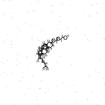 COCCOCO[C@H]1CC[C@@]2(C)C(=CC[C@H]3[C@@H]4CC[C@H]([C@H](C)CCCC(C)C)[C@@]4(C)CC[C@@H]32)C1